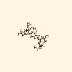 CC(C)n1cc(C(F)(F)F)nc1-c1ccc(CNc2nc(Cl)nc3cn(C)nc23)cc1